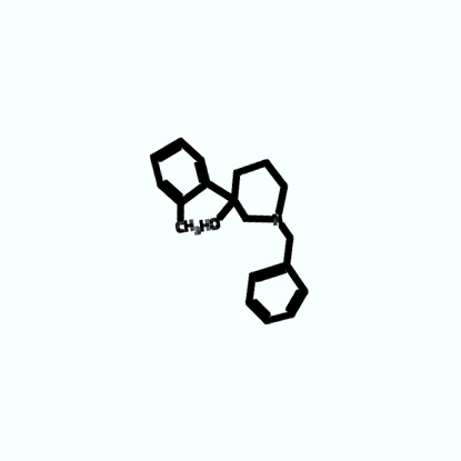 Cc1ccccc1C1(O)CCCN(Cc2ccccc2)C1